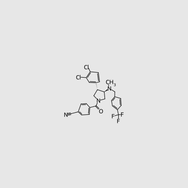 CN(Cc1ccc(C(F)(F)F)cc1)[C@H]1CN(C(=O)c2ccc(C#N)cc2)C[C@@H]1c1ccc(Cl)c(Cl)c1